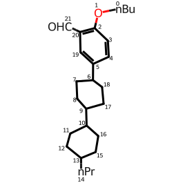 CCCCOc1ccc(C2CCC(C3CCC(CCC)CC3)CC2)cc1C=O